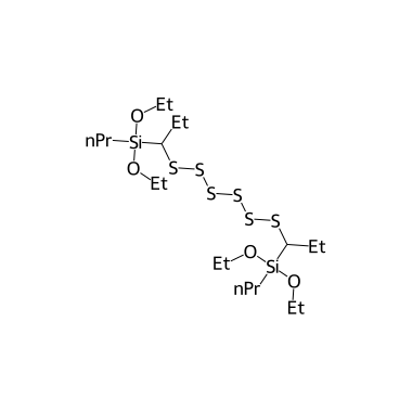 CCC[Si](OCC)(OCC)C(CC)SSSSSSC(CC)[Si](CCC)(OCC)OCC